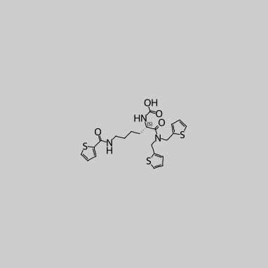 O=C(O)N[C@@H](CCCCNC(=O)c1cccs1)C(=O)N(Cc1cccs1)Cc1cccs1